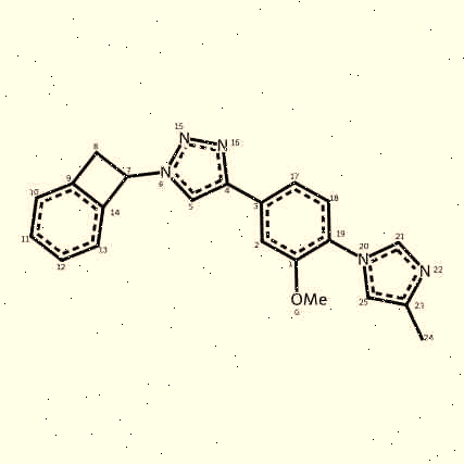 COc1cc(-c2cn(C3Cc4ccccc43)nn2)ccc1-n1cnc(C)c1